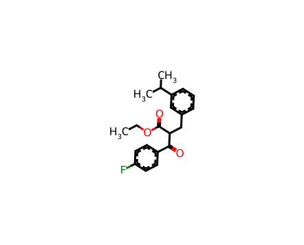 CCOC(=O)C(Cc1cccc(C(C)C)c1)C(=O)c1ccc(F)cc1